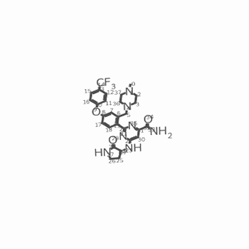 CN1CCN(Cc2cc(Oc3ccc(C(F)(F)F)cc3)ccc2-c2nc(N[C@H]3CCNC3=O)cc(C(N)=O)n2)CC1